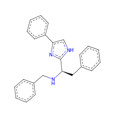 c1ccc(CN[C@H](Cc2ccccc2)c2nc(-c3ccccc3)c[nH]2)cc1